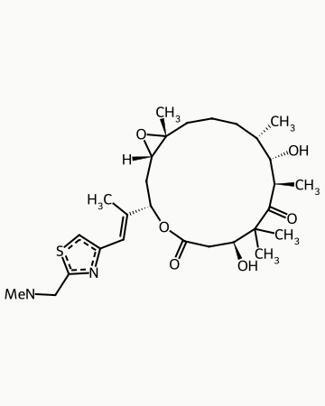 CNCc1nc(C=C(C)[C@@H]2C[C@@H]3O[C@]3(C)CCC[C@H](C)[C@H](O)[C@@H](C)C(=O)C(C)(C)[C@@H](O)CC(=O)O2)cs1